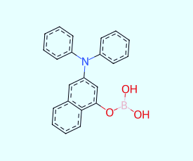 OB(O)Oc1cc(N(c2ccccc2)c2ccccc2)cc2ccccc12